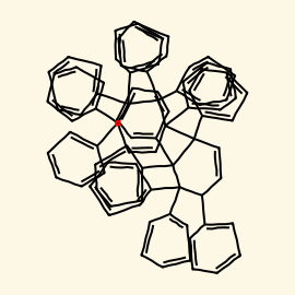 C1=CC(c2ccccc2)(C2(c3ccccc3)C=CC(c3ccccc3)(c3ccccc3)C(c3ccccc3)(c3ccccc3)C2(c2ccccc2)c2ccccc2)C(c2ccccc2)(c2ccccc2)C(c2ccccc2)(c2ccccc2)C1c1ccccc1